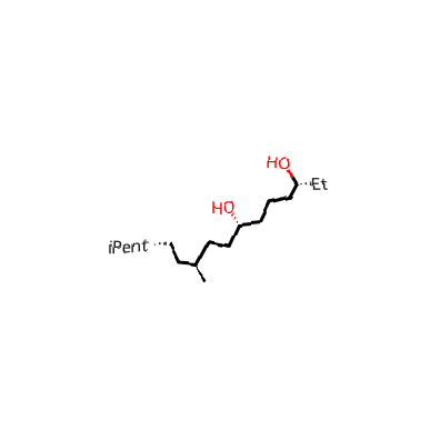 CCC[C@@H](C)CC[C@H](C)CC[C@H](O)CCC[C@H](O)CC